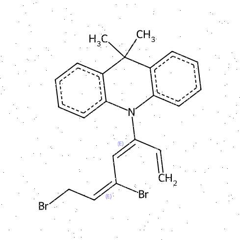 C=C/C(=C\C(Br)=C/CBr)N1c2ccccc2C(C)(C)c2ccccc21